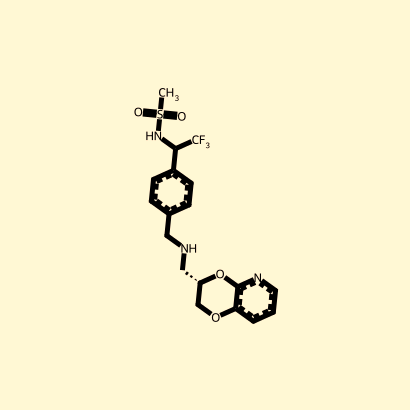 CS(=O)(=O)NC(c1ccc(CNC[C@H]2COc3cccnc3O2)cc1)C(F)(F)F